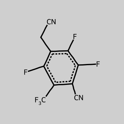 N#CCc1c(F)c(F)c(C#N)c(C(F)(F)F)c1F